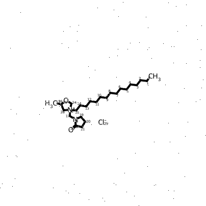 CCCCCCCCCCCCCCCC[N+]1(CN2CCCC2=O)COC(C)C1.[Cl-]